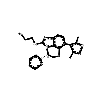 Cc1noc(C)c1-c1ccc2nc(NCCO)n3c2c1OC[C@@H]3c1ccccn1